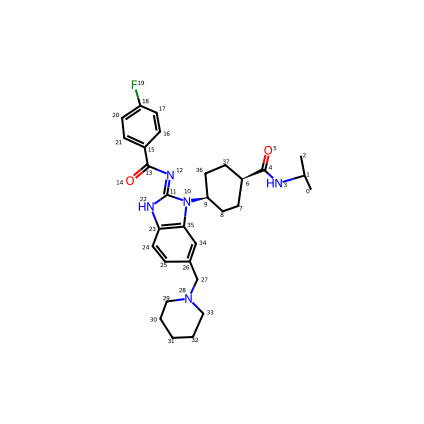 CC(C)NC(=O)[C@H]1CC[C@@H](n2/c(=N/C(=O)c3ccc(F)cc3)[nH]c3ccc(CN4CCCCC4)cc32)CC1